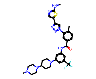 CNc1ncc(-c2cn(-c3cc(C(=O)Nc4cc(N5CCC(N6CCN(C)CC6)CC5)cc(C(F)(F)F)c4)ccc3C)nn2)s1